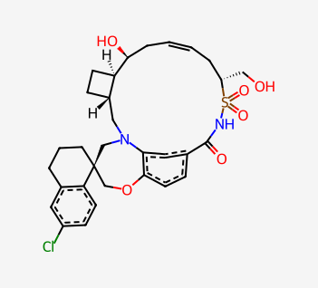 O=C1NS(=O)(=O)[C@@H](CO)C/C=C\C[C@H](O)[C@@H]2CC[C@H]2CN2C[C@@]3(CCCc4cc(Cl)ccc43)COc3ccc1cc32